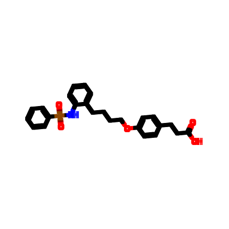 O=C(O)CCc1ccc(OCCCCc2ccccc2NS(=O)(=O)c2ccccc2)cc1